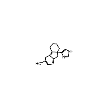 OC1=CC=C2CC3(c4c[nH]cn4)CCCCC3=C2C1